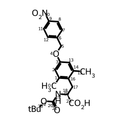 Cc1cc(OCc2ccc([N+](=O)[O-])cc2)cc(C)c1C[C@H](NC(=O)OC(C)(C)C)C(=O)O